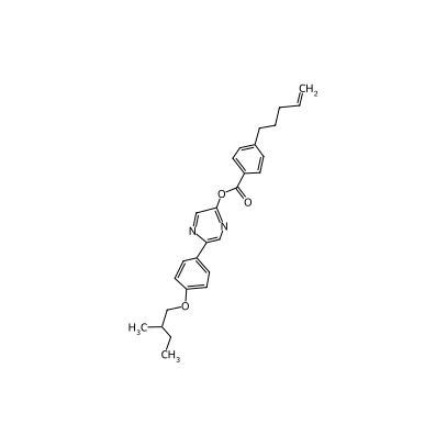 C=CCCCc1ccc(C(=O)Oc2cnc(-c3ccc(OCC(C)CC)cc3)cn2)cc1